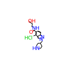 Cc1c(C(=O)NCCCO)ccc2nn(CC3CCNCC3)cc12.Cl